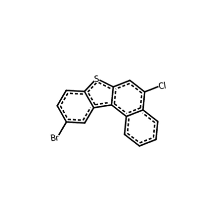 Clc1cc2sc3ccc(Br)cc3c2c2ccccc12